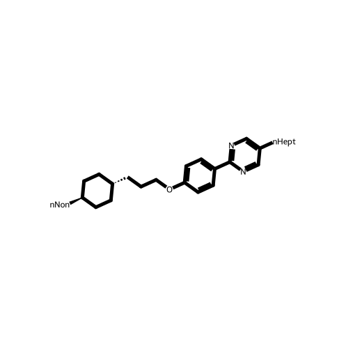 CCCCCCCCC[C@H]1CC[C@H](CCCOc2ccc(-c3ncc(CCCCCCC)cn3)cc2)CC1